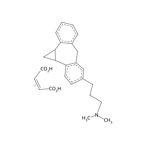 CN(C)CCCc1ccc2c(c1)Cc1ccccc1C1CC21.O=C(O)/C=C\C(=O)O